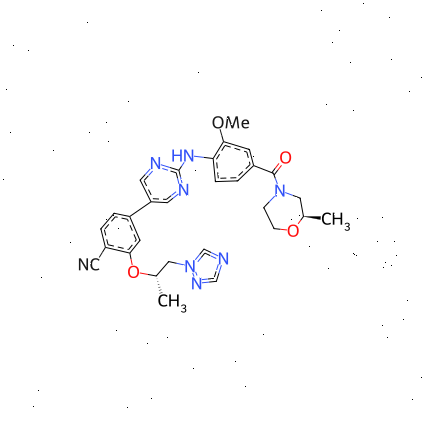 COc1cc(C(=O)N2CCO[C@H](C)C2)ccc1Nc1ncc(-c2ccc(C#N)c(O[C@@H](C)Cn3cncn3)c2)cn1